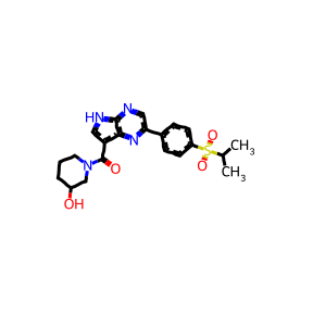 CC(C)S(=O)(=O)c1ccc(-c2cnc3[nH]cc(C(=O)N4CCCC(O)C4)c3n2)cc1